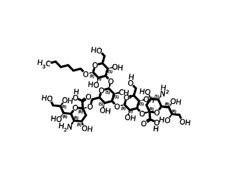 CCCCCCO[C@@H]1OC(CO)[C@H](O)C(O[C@@H]2OC(CO[C@]3(C(=O)O)C[C@@H](O)[C@@H](N)C([C@H](O)[C@H](O)CO)O3)[C@@H](O)C(O[C@@H]3OC(CO)[C@H](O)C(O[C@@]4(C(=O)O)C[C@H](O)[C@H](N)C([C@H](O)[C@H](O)CO)O4)[C@@H]3O)[C@@H]2C)[C@@H]1O